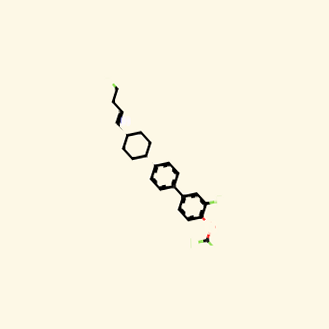 FCC/C=C/[C@H]1CC[C@H](c2ccc(-c3ccc(OC(F)F)c(F)c3)cc2)CC1